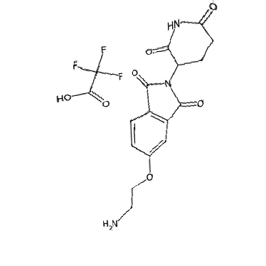 NCCOc1ccc2c(c1)C(=O)N(C1CCC(=O)NC1=O)C2=O.O=C(O)C(F)(F)F